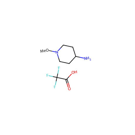 CON1CCC(N)CC1.O=C(O)C(F)(F)F